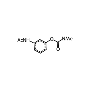 CNC(=O)Oc1cccc(NC(C)=O)c1